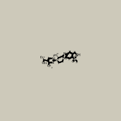 CC[C@H](O)c1cnc(N2CCn3c(nc4cc(CO)c(S(C)(=O)=O)cc43)[C@H]2C(C)C)nc1C(F)(F)F